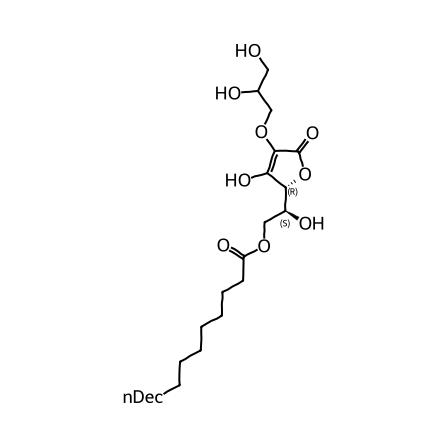 CCCCCCCCCCCCCCCCCC(=O)OC[C@H](O)[C@H]1OC(=O)C(OCC(O)CO)=C1O